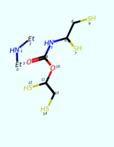 CCNCC.O=C(NC(S)CS)OC(S)CS